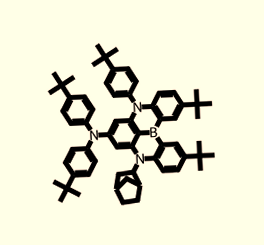 CC(C)(C)c1ccc(N(c2ccc(C(C)(C)C)cc2)c2cc3c4c(c2)N(C2CC5CCC2C5)c2ccc(C(C)(C)C)cc2B4c2cc(C(C)(C)C)ccc2N3c2ccc(C(C)(C)C)cc2)cc1